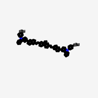 CC(C)(C)c1ccc(-n2c3ccccc3c3cc(-c4ccc5cc(/C=C/c6ccc7c(c6)C(C)(C)c6cc(/C=C/c8ccc9cc(-c%10ccc%11c(c%10)c%10ccccc%10n%11-c%10ccc(C(C)(C)C)cc%10)ccc9c8)ccc6-7)ccc5c4)ccc32)cc1